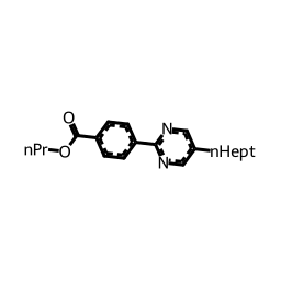 CCCCCCCc1cnc(-c2ccc(C(=O)OCCC)cc2)nc1